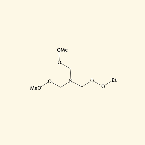 CCOOCN(COOC)COOC